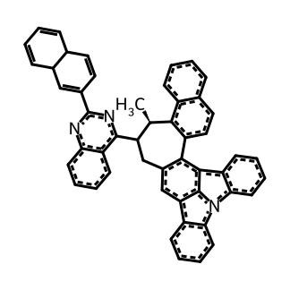 C[C@H]1c2c(ccc3ccccc23)-c2c(cc3c4ccccc4n4c5ccccc5c2c34)CC1c1nc(C2=CC3C=CC=CC3C=C2)nc2ccccc12